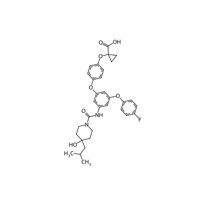 CC(C)CC1(O)CCN(C(=O)Nc2cc(Oc3ccc(F)cc3)cc(Oc3ccc(OC4(C(=O)O)CC4)cc3)c2)CC1